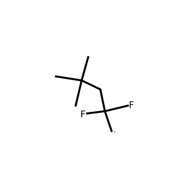 [CH2]C(F)(F)CC(C)(C)C